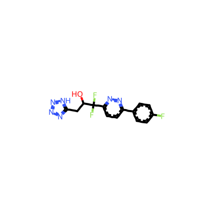 OC(Cc1nnn[nH]1)C(F)(F)c1ccc(-c2ccc(F)cc2)nn1